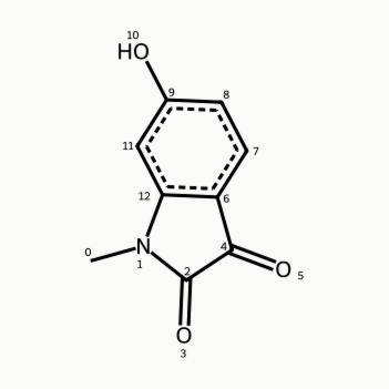 CN1C(=O)C(=O)c2ccc(O)cc21